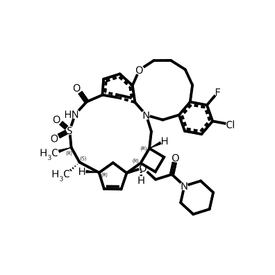 C[C@@H]1[C@@H](C)S(=O)(=O)NC(=O)c2ccc3c(c2)N(Cc2ccc(Cl)c(F)c2CCCCO3)C[C@@H]2CC[C@H]2C2(OCC(=O)N3CCCCC3)C=C[C@H]1C2